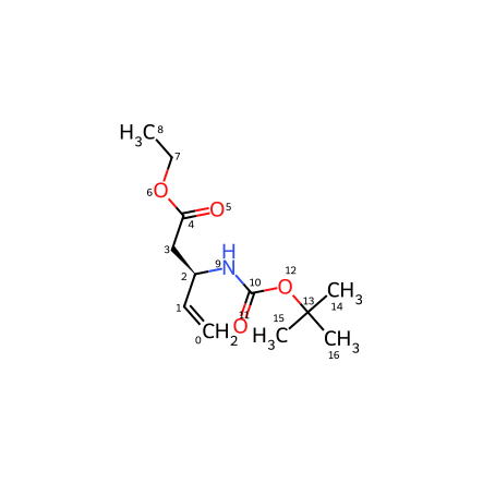 C=C[C@@H](CC(=O)OCC)NC(=O)OC(C)(C)C